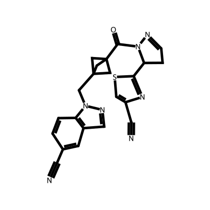 N#Cc1ccc2c(cnn2CC23CC(C(=O)N4N=CCC4c4nc(C#N)cs4)(C2)C3)c1